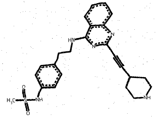 CS(=O)(=O)Nc1ccc(CCNc2nc(C#CC3CCNCC3)nc3ccccc23)cc1